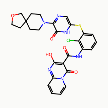 O=C(Nc1cccc(Sc2cnc(N3CCC4(CCOC4)CC3)c(=O)[nH]2)c1Cl)c1c(O)nc2ccccn2c1=O